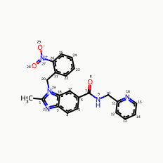 Cc1nc2ccc(C(=O)NCc3ccccn3)cc2n1Cc1ccccc1[N+](=O)[O-]